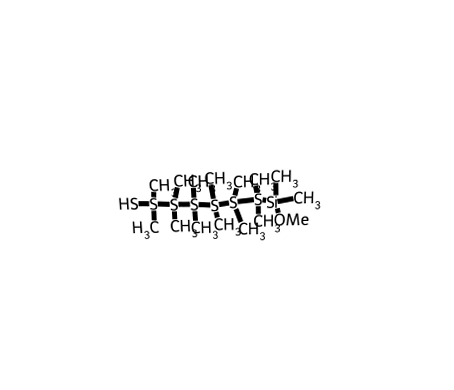 CO[Si](C)(C)S(C)(C)S(C)(C)S(C)(C)S(C)(C)S(C)(C)S(C)(C)S